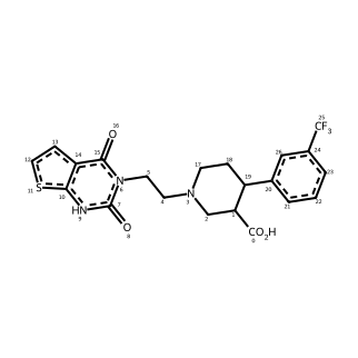 O=C(O)C1CN(CCn2c(=O)[nH]c3sccc3c2=O)CCC1c1cccc(C(F)(F)F)c1